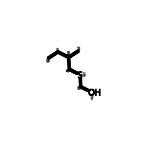 CCC(C)CSCO